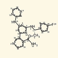 C[C@H](Nc1nc(Nc2cnccn2)cc(-c2cnccc2C(N)=O)n1)c1ccc(F)cc1